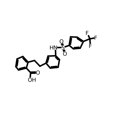 O=C(O)c1ccccc1CCc1cccc(NS(=O)(=O)c2ccc(C(F)(F)F)cc2)c1